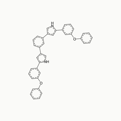 c1ccc(Oc2cccc(-c3cc(-c4cccc(-c5c[nH]c(-c6cccc(Oc7ccccc7)c6)c5)c4)c[nH]3)c2)cc1